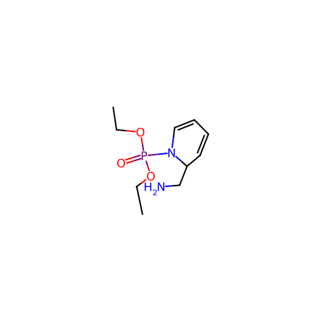 CCOP(=O)(OCC)N1C=CC=CC1CN